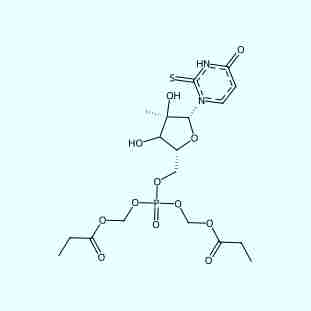 CCC(=O)OCOP(=O)(OCOC(=O)CC)OC[C@H]1O[C@@H](n2ccc(=O)[nH]c2=S)[C@](C)(O)C1O